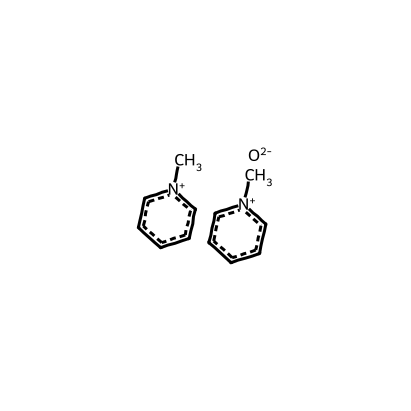 C[n+]1ccccc1.C[n+]1ccccc1.[O-2]